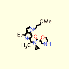 CCc1nc([C@@H](C)N(C(=O)[C@H]2CNCCO2)C2CC2)cc2c1ccn2CCCOC